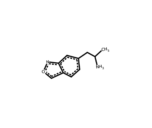 CC(N)Cc1ccc2conc2c1